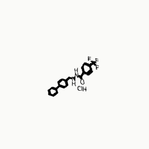 Cl.O=C(NNCc1ccc(-c2ccccc2)cc1)c1ccc(C(F)(F)F)cc1